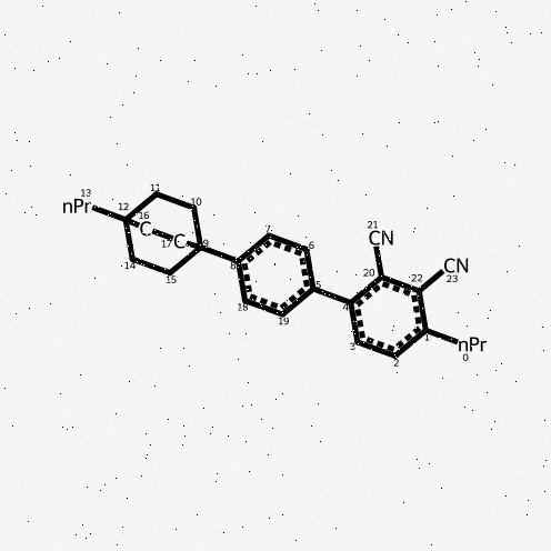 CCCc1ccc(-c2ccc(C34CCC(CCC)(CC3)CC4)cc2)c(C#N)c1C#N